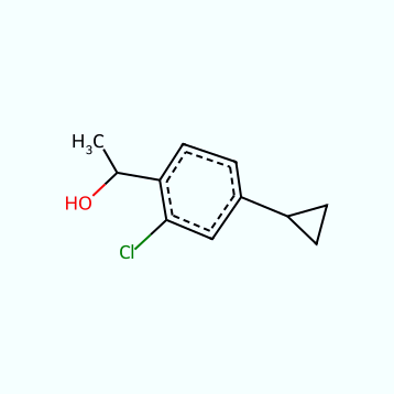 CC(O)c1ccc(C2CC2)cc1Cl